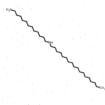 CCCCCCCCCCCCCCCCCCNCCCCCCCCCCCCN